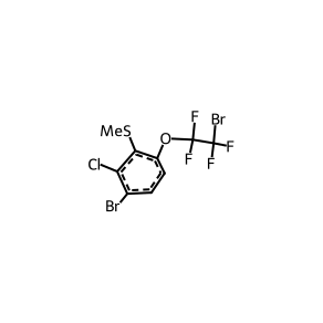 CSc1c(OC(F)(F)C(F)(F)Br)ccc(Br)c1Cl